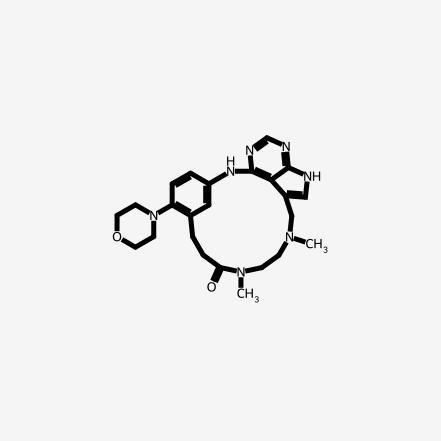 CN1CCN(C)C(=O)CCc2cc(ccc2N2CCOCC2)Nc2ncnc3[nH]cc(c23)C1